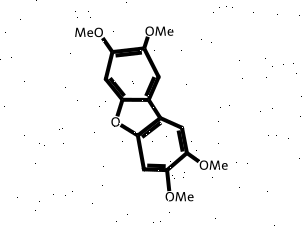 COc1cc2oc3cc(OC)c(OC)cc3c2cc1OC